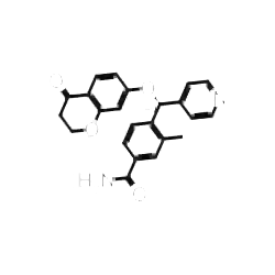 Cc1cc(C(N)=O)ccc1[C@@H](Oc1ccc2c(c1)OCCC2=O)c1ccncc1